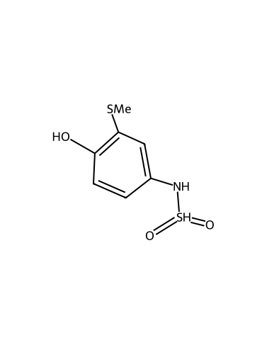 CSc1cc(N[SH](=O)=O)ccc1O